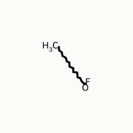 CCCCCCCCCCCCCCCC(=O)F